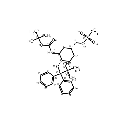 CC(C)(C)OC(=O)N[C@H]1C[C@H](COS(C)(=O)=O)CC[C@@H]1O[Si](c1ccccc1)(c1ccccc1)C(C)(C)C